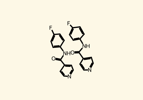 O=C(Nc1ccc(F)cc1)c1ccncc1.O=C(Nc1ccc(F)cc1)c1ccncc1